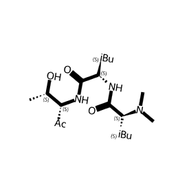 CC[C@H](C)[C@H](NC(=O)[C@H]([C@@H](C)CC)N(C)C)C(=O)N[C@H](C(C)=O)[C@H](C)O